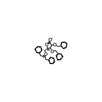 CO[C@@H]1O[C@H](CON(Cc2ccccc2)Cc2ccccc2)C(OCc2ccccc2)C1OCc1ccccc1